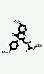 COc1ccc(-n2c(CN(C)C(=O)OC(C)(C)C)nc3ccc([N+](=O)[O-])cc3c2=O)cc1